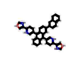 c1ccc2cc(-c3ccc4c(-c5ccc(-c6cocn6)nc5)c5ccccc5c(-c5ccc(-c6cocn6)nc5)c4c3)ccc2c1